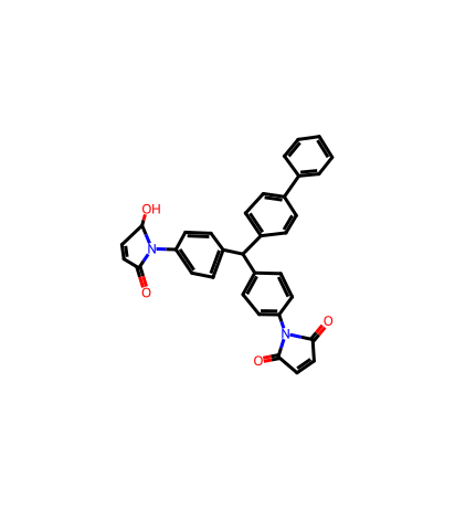 O=C1C=CC(=O)N1c1ccc(C(c2ccc(-c3ccccc3)cc2)c2ccc(N3C(=O)C=CC3O)cc2)cc1